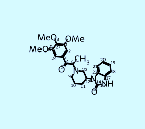 COc1cc(C(=O)C(C)N2CCCC(n3c(=O)[nH]c4ccccc43)C2)cc(OC)c1OC